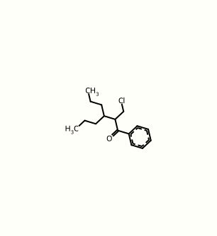 CCCC(CCC)C(CCl)C(=O)c1ccccc1